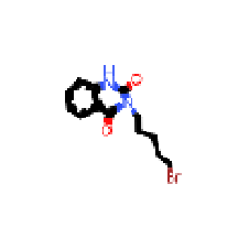 O=c1[nH]c2ccccc2c(=O)n1CCCCCBr